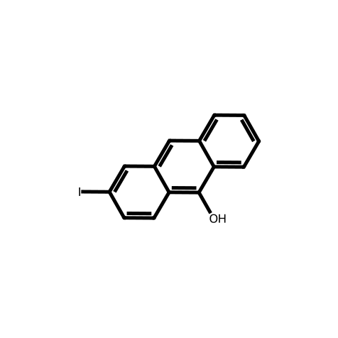 Oc1c2ccccc2cc2cc(I)ccc12